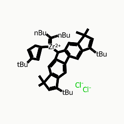 CCCC[C](CCCC)=[Zr+2]([C]1=CC(C(C)(C)C)=CC1)[CH]1c2cc3c(cc2-c2cc4c(cc21)C(C)(C)C=C4C(C)(C)C)C(C(C)(C)C)=CC3(C)C.[Cl-].[Cl-]